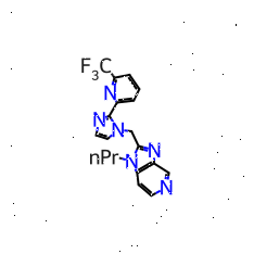 CCCn1c(Cn2ccnc2-c2cccc(C(F)(F)F)n2)nc2cnccc21